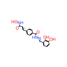 O=C(/C=C/c1ccc(C(=O)N/N=C/c2cccc(O)c2O)cc1)NO